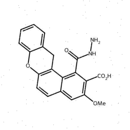 COc1cc2ccc3c(c2c(C(=O)NN)c1C(=O)O)Cc1ccccc1O3